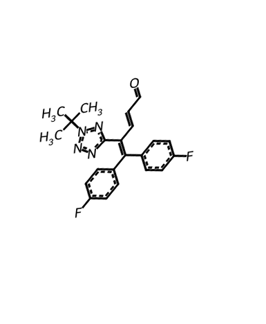 CC(C)(C)n1nnc(C(C=CC=O)=C(c2ccc(F)cc2)c2ccc(F)cc2)n1